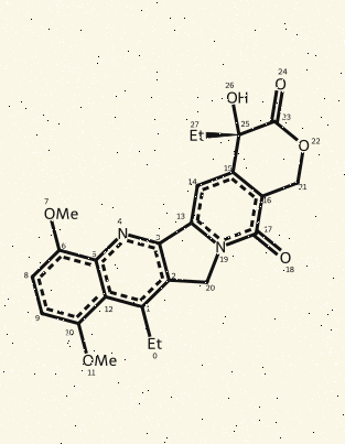 CCc1c2c(nc3c(OC)ccc(OC)c13)-c1cc3c(c(=O)n1C2)COC(=O)[C@]3(O)CC